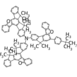 CC(C)(C)c1ccc(-c2cc3c(c4c2oc2ccccc24)-c2ccc(N(c4ccc5c(c4)C(C)(C)c4c6c(c7oc8ccccc8c7c4-5)-c4ccccc4C6(C)C)c4ccc5c(c4)C(C)(C)c4c6c(c7oc8ccccc8c7c4-5)-c4ccccc4C6(C)C)cc2C3(C)C)cc1